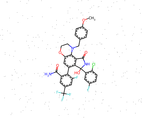 COc1ccc(CN2CCOc3cc(-c4c(F)cc(C(F)(F)F)cc4C(N)=O)c4c(c32)C(=O)NC4(O)c2cc(F)ccc2Cl)cc1